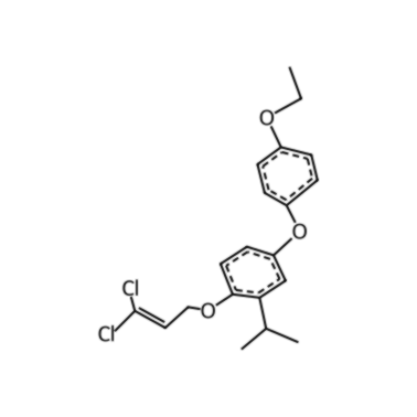 CCOc1ccc(Oc2ccc(OCC=C(Cl)Cl)c(C(C)C)c2)cc1